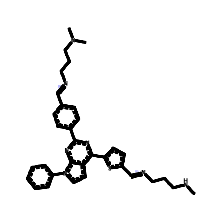 CNCCC/N=C/c1ccc(-c2nc(-c3ccc(/C=N/CCCN(C)C)cc3)nc3c2ccn3-c2ccccc2)s1